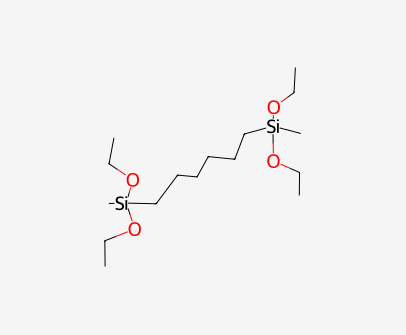 CCO[Si](C)(CCCCCC[Si](C)(OCC)OCC)OCC